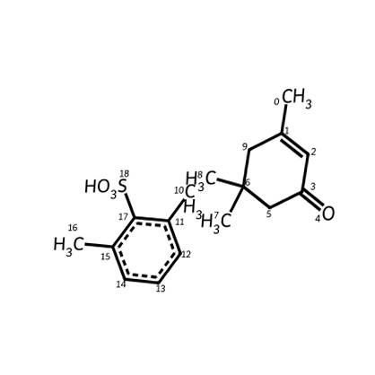 CC1=CC(=O)CC(C)(C)C1.Cc1cccc(C)c1S(=O)(=O)O